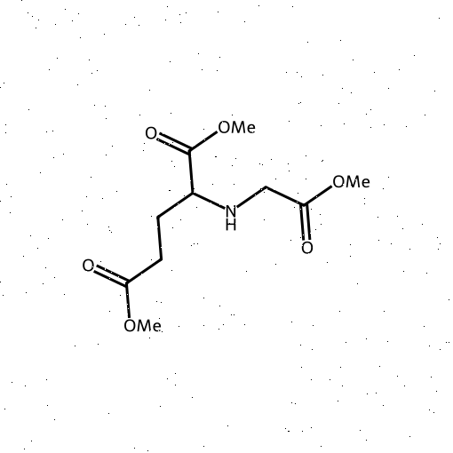 COC(=O)CCC(NCC(=O)OC)C(=O)OC